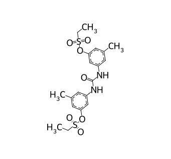 CCS(=O)(=O)Oc1cc(C)cc(NC(=O)Nc2cc(C)cc(OS(=O)(=O)CC)c2)c1